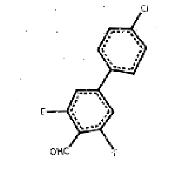 O=Cc1c(F)cc(-c2ccc(Cl)cc2)cc1F